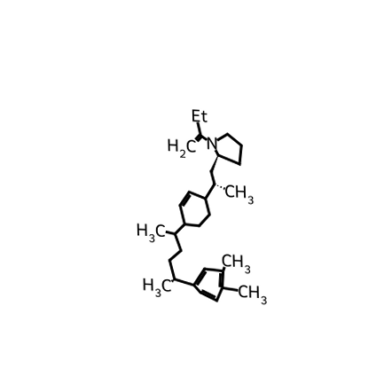 C=C(CC)N1CCC[C@H]1C[C@H](C)C1C=CC(C(C)CC[C@@H](C)c2ccc(C)c(C)c2)CC1